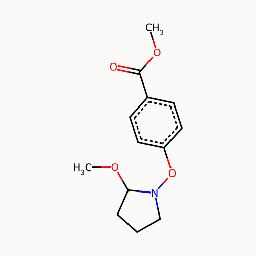 COC(=O)c1ccc(ON2CCCC2OC)cc1